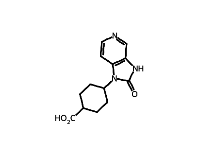 O=C(O)C1CCC(n2c(=O)[nH]c3cnccc32)CC1